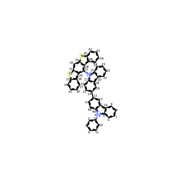 c1ccc(-n2c3ccccc3c3cc(-c4ccc5c(c4)c4ccccc4n5-c4c5c(cc6sc7ccccc7c46)sc4ccccc45)ccc32)cc1